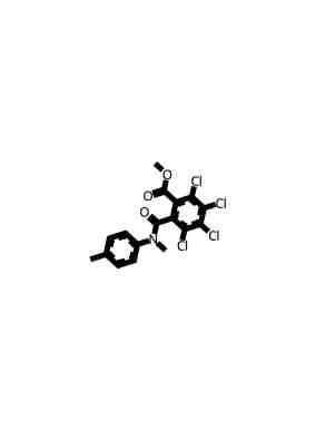 COC(=O)c1c(Cl)c(Cl)c(Cl)c(Cl)c1C(=O)N(C)c1ccc(C)cc1